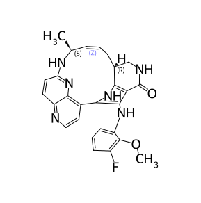 COc1c(F)cccc1Nc1c2[nH]c3c1C(=O)NC[C@H]3C/C=C\[C@H](C)Nc1ccc3nccc-2c3n1